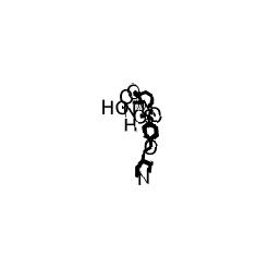 C[C@]1(C(=O)NO)C(=O)CCCN1S(=O)(=O)c1ccc(OCc2ccncc2)cc1